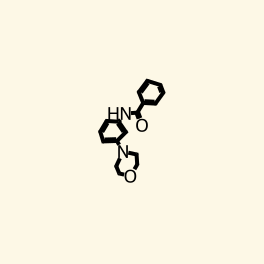 O=C(Nc1cccc(N2CCOCC2)c1)c1ccccc1